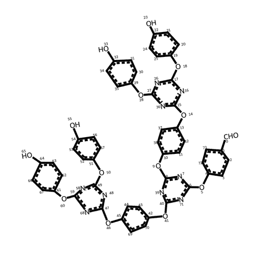 O=Cc1ccc(Oc2nc(Oc3ccc(Oc4nc(Oc5ccc(O)cc5)nc(Oc5ccc(O)cc5)n4)cc3)nc(Oc3ccc(Oc4nc(Oc5ccc(O)cc5)nc(Oc5ccc(O)cc5)n4)cc3)n2)cc1